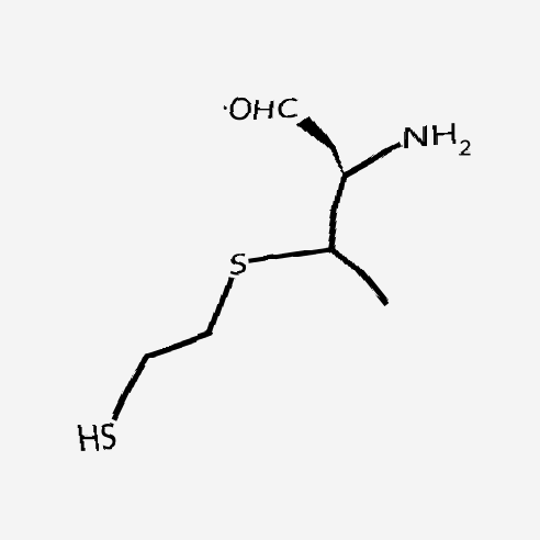 CC(SCCS)[C@H](N)[C]=O